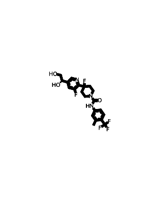 Cc1cc(NC(=O)N2CCC(F)(c3ncc([C@@H](O)CO)cc3F)CC2)ccc1C(F)(F)F